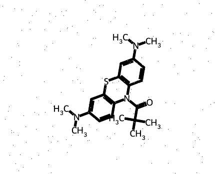 CN(C)c1ccc2c(c1)Sc1cc(N(C)C)ccc1N2C(=O)C(C)(C)C